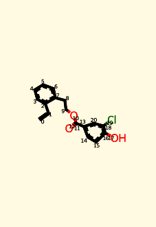 C=Cc1ccccc1CCOC(=O)c1ccc(O)c(Cl)c1